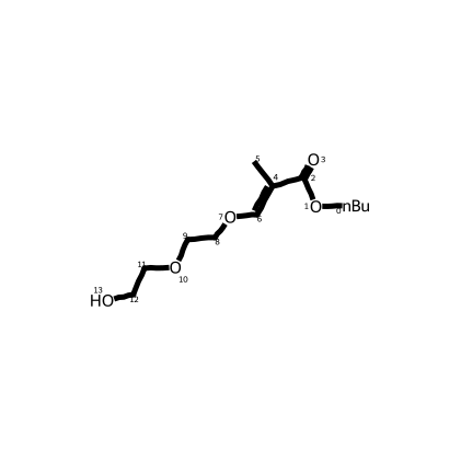 CCCCOC(=O)C(C)=COCCOCCO